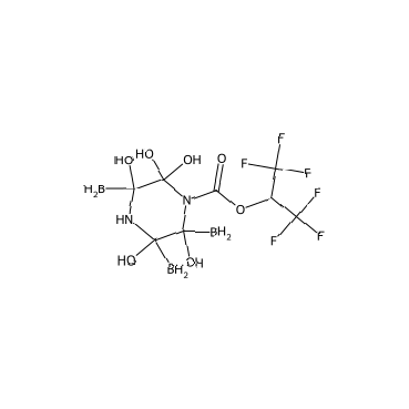 BC1(O)NC(B)(O)C(O)(O)N(C(=O)OC(C(F)(F)F)C(F)(F)F)C1(B)O